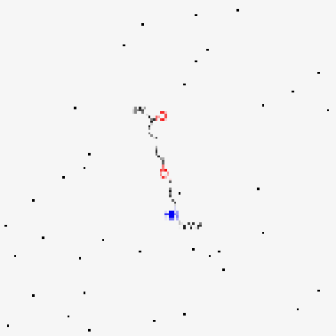 CSNCCCOCCCCC(=O)C(C)C